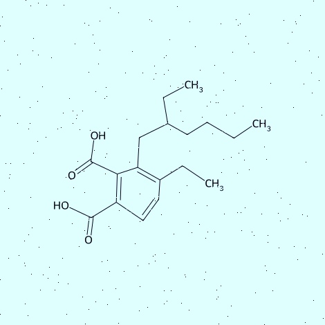 CCCCC(CC)Cc1c(CC)ccc(C(=O)O)c1C(=O)O